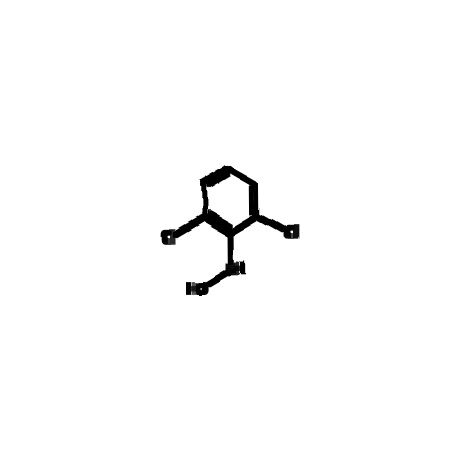 OBc1c(Cl)cccc1Cl